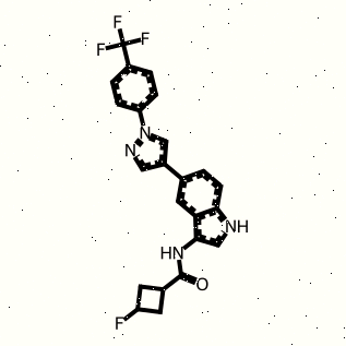 O=C(Nc1c[nH]c2ccc(-c3cnn(-c4ccc(C(F)(F)F)cc4)c3)cc12)C1CC(F)C1